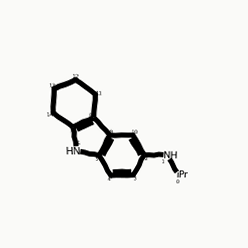 CC(C)Nc1ccc2[nH]c3c(c2c1)CCCC3